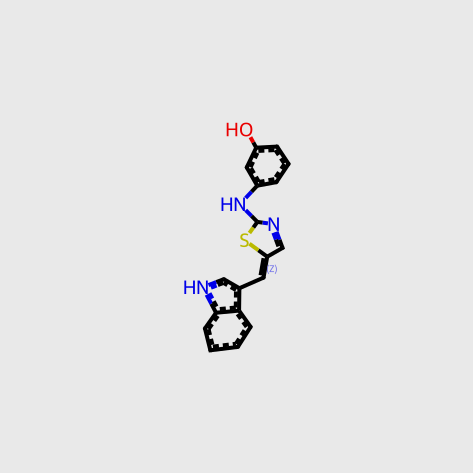 Oc1cccc(NC2N=C/C(=C/c3c[nH]c4ccccc34)S2)c1